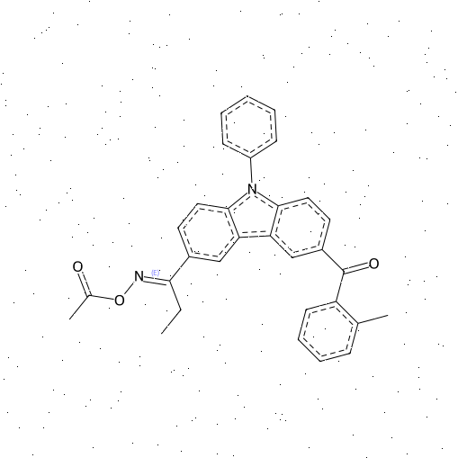 CC/C(=N\OC(C)=O)c1ccc2c(c1)c1cc(C(=O)c3ccccc3C)ccc1n2-c1ccccc1